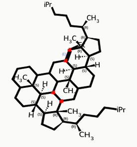 CC/C=C/CC(C1CCCC2CC[C@@H]3[C@H](CC[C@]4(C)[C@@H]([C@H](C)CCCC(C)C)CC[C@@H]34)[C@]21C)C1CCCC2CC[C@@H]3[C@H](CC[C@]4(C)[C@@H]([C@H](C)CCCC(C)C)CC[C@@H]34)[C@]21C